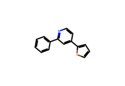 c1ccc(-c2cc(-c3cccs3)ccn2)cc1